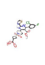 CCOC(=O)C1=C(C2CCN(S(=O)(=O)C3CC(C(=O)O)C3)CC2)NC(c2nccs2)=NC1c1ccc(F)cc1Cl